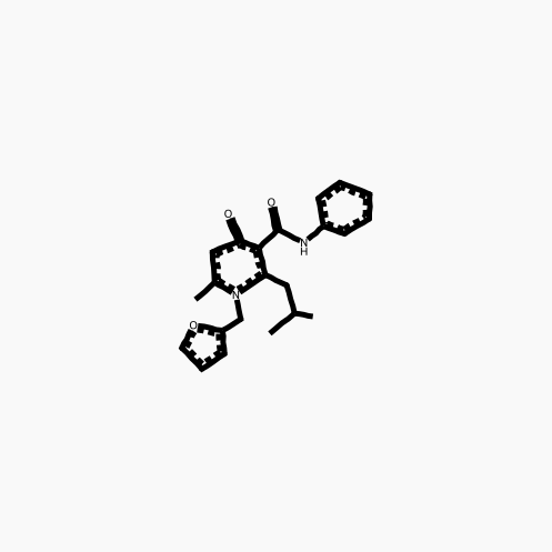 Cc1cc(=O)c(C(=O)Nc2ccccc2)c(CC(C)C)n1Cc1ccco1